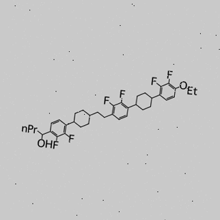 CCCC(O)c1ccc(C2CCC(CCc3ccc(C4CCC(c5ccc(OCC)c(F)c5F)CC4)c(F)c3F)CC2)c(F)c1F